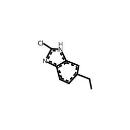 CCc1ccc2nc(Cl)[nH]c2c1